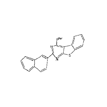 CC(C)c1nc(-c2ccc3ccccc3c2)nc2sc3ccccc3c12